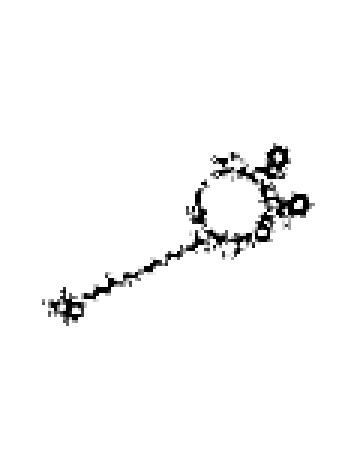 NC(=O)[C@@H]1CCCCn2cc(nn2)C[C@H](NC(=O)COCCOCCOCCNC(=O)CCCC[C@@H]2SC[C@@H]3NC(=O)N[C@@H]32)C(=O)N[C@H](CO)C(=O)N2CCC[C@@H]2C(=O)N[C@H](Cc2c[nH]c3ccccc23)C(=O)N[C@H](Cc2c[nH]c3ccccc23)C(=O)N1